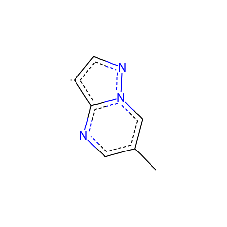 Cc1cnc2[c]cnn2c1